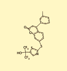 Cc1cccc(-c2cc(=O)oc3cc(Sc4ncc(C(O)(C(F)(F)F)C(F)(F)F)s4)ccc23)c1